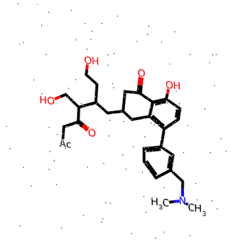 CC(=O)CC(=O)C(CO)C(CCO)CC1CC(=O)c2c(O)ccc(-c3cccc(CN(C)C)c3)c2C1